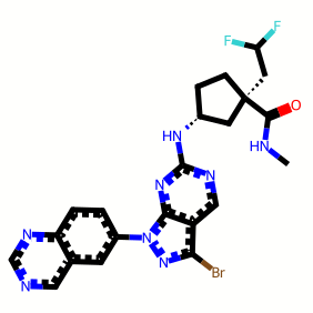 CNC(=O)[C@]1(CC(F)F)CC[C@@H](Nc2ncc3c(Br)nn(-c4ccc5ncncc5c4)c3n2)C1